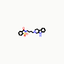 O=C1c2ccccc2S(=O)(=O)N1CCCCN1CCc2c([nH]c3ccccc23)C1